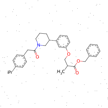 CC(COc1cccc(C2CCCN(C(=O)Cc3ccc(C(C)C)cc3)C2)c1)C(=O)OCc1ccccc1